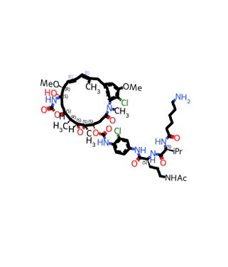 COc1cc2cc(c1Cl)N(C)C(=O)C[C@H](OC(=O)Nc1ccc(NC(=O)[C@H](CCCNC(C)=O)NC(=O)[C@@H](NC(=O)CCCCCN)C(C)C)cc1Cl)[C@]1(C)O[C@H]1[C@H](C)[C@@H]1C[C@@](O)(NC(=O)O1)[C@H](OC)/C=C/C=C(\C)C2